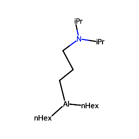 CCCCC[CH2][Al]([CH2]CCCCC)[CH2]CCN(C(C)C)C(C)C